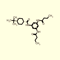 CCCC(=O)Nc1cc(NC(=O)CCC)cc(NC(=O)[C@H]2CC[C@H](C(C)(C)C)CC2)c1